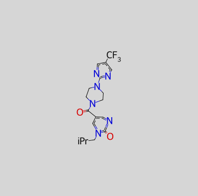 CC(C)Cn1cc(C(=O)N2CCN(c3ncc(C(F)(F)F)cn3)CC2)cnc1=O